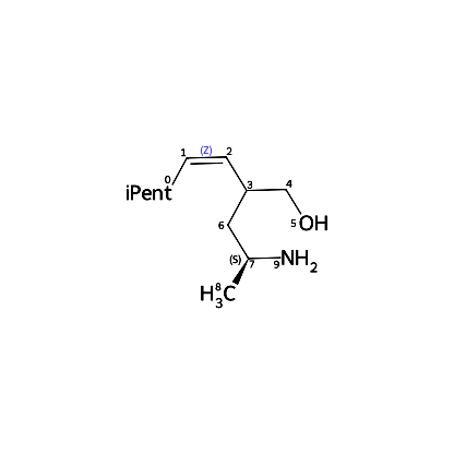 CCCC(C)/C=C\C(CO)C[C@H](C)N